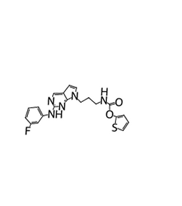 O=C(NCCCn1ccc2cnc(Nc3cccc(F)c3)nc21)Oc1cccs1